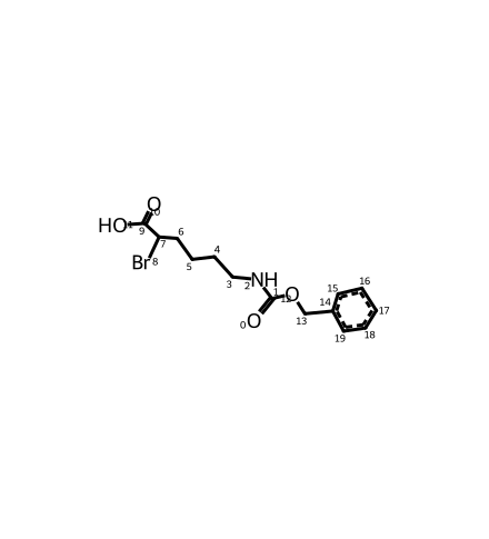 O=C(NCCCCC(Br)C(=O)O)OCc1ccccc1